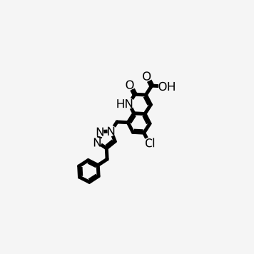 O=C(O)c1cc2cc(Cl)cc(Cn3cc(Cc4ccccc4)nn3)c2[nH]c1=O